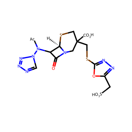 CC(=O)N(C1C(=O)N2CC(CSc3nnc(CS(=O)(=O)O)o3)(C(=O)O)CS[C@H]12)n1cnnn1